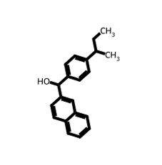 CCC(C)c1ccc(C(O)c2ccc3ccccc3c2)cc1